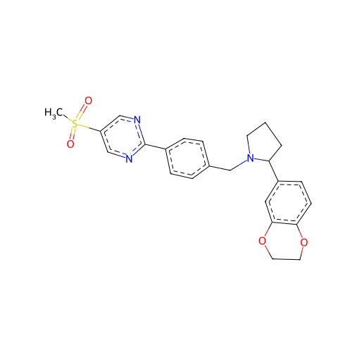 CS(=O)(=O)c1cnc(-c2ccc(CN3CCCC3c3ccc4c(c3)OCCO4)cc2)nc1